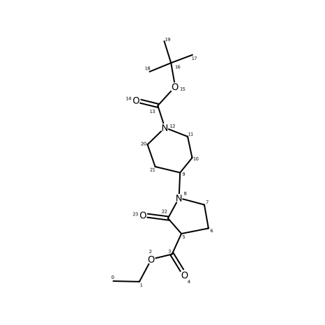 CCOC(=O)C1CCN(C2CCN(C(=O)OC(C)(C)C)CC2)C1=O